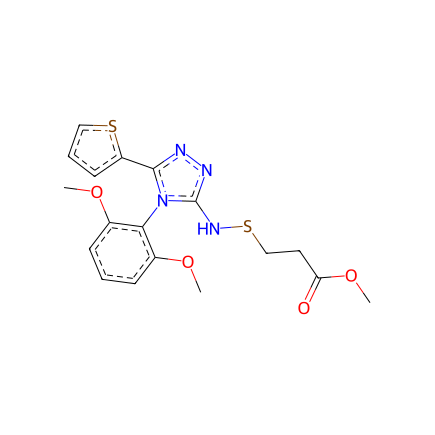 COC(=O)CCSNc1nnc(-c2cccs2)n1-c1c(OC)cccc1OC